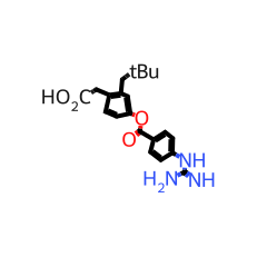 CC(C)(C)Cc1cc(OC(=O)c2ccc(NC(=N)N)cc2)ccc1CC(=O)O